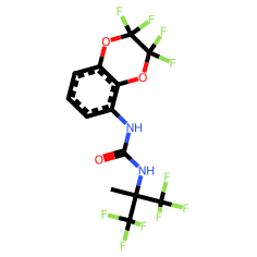 CC(NC(=O)Nc1cccc2c1OC(F)(F)C(F)(F)O2)(C(F)(F)F)C(F)(F)F